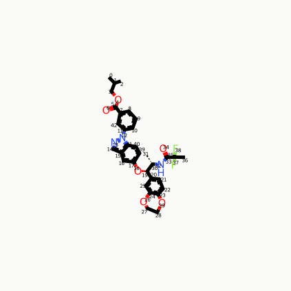 CC(C)COC(=O)c1cccc(-n2ncc3cc(O[C@H](c4ccc5c(c4)OCCO5)[C@H](C)NC(=O)C(C)(F)F)ccc32)c1